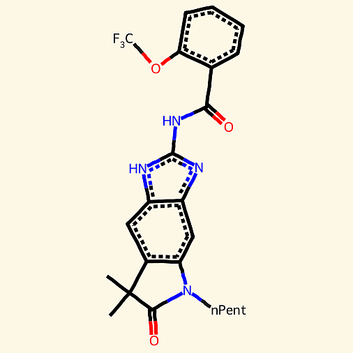 CCCCCN1C(=O)C(C)(C)c2cc3[nH]c(NC(=O)c4ccccc4OC(F)(F)F)nc3cc21